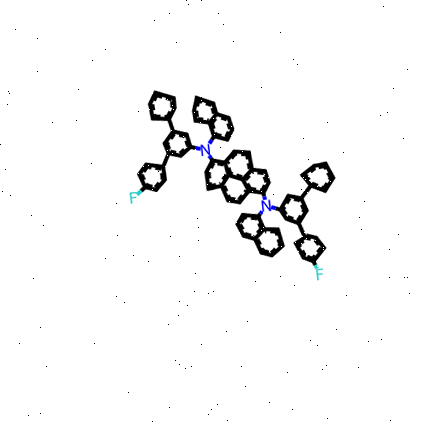 Fc1ccc(-c2cc(-c3ccccc3)cc(N(c3cccc4ccccc34)c3ccc4ccc5c(N(c6cc(-c7ccccc7)cc(-c7ccc(F)cc7)c6)c6cccc7ccccc67)ccc6ccc3c4c65)c2)cc1